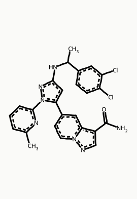 Cc1cccc(-n2nc(NC(C)c3ccc(Cl)c(Cl)c3)cc2-c2ccn3ncc(C(N)=O)c3c2)n1